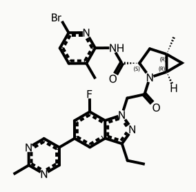 CCc1nn(CC(=O)N2[C@H](C(=O)Nc3nc(Br)ccc3C)C[C@@]3(C)C[C@@H]23)c2c(F)cc(-c3cnc(C)nc3)cc12